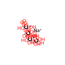 O=S(=O)([O-])O[C@H]1O[C@H](CO)[C@@H](O[C@H]2O[C@H](CO)[C@@H](O[C@H]3O[C@H](CO)[C@@H](O[C@H]4O[C@H](CO)[C@@H](O)[C@H](O)[C@H]4O)[C@H](O)[C@H]3O)[C@H](O)[C@H]2O)[C@H](O)[C@H]1O.[Na+]